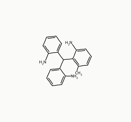 Cc1cccc(N)c1C(c1ccccc1N)c1ccccc1N